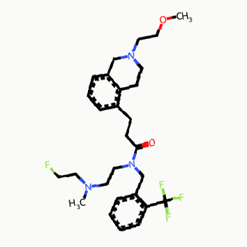 COCCN1CCc2c(CCC(=O)N(CCN(C)CCF)Cc3ccccc3C(F)(F)F)cccc2C1